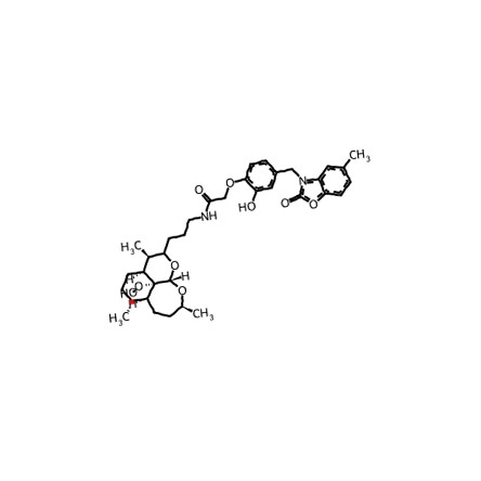 Cc1ccc2oc(=O)n(Cc3ccc(OCC(=O)NCCCC4O[C@@H]5O[C@@H](C)CC[C@H]6[C@H](C)CC[C@@H]([C@H]4C)[C@@]56OO)c(O)c3)c2c1